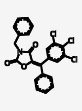 O=C1OC(=C(c2ccccc2)c2cc(Cl)c(Cl)c(Cl)c2)C(=O)N1Cc1ccccc1